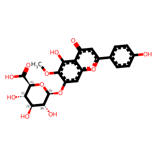 COc1c(O[C@@H]2O[C@H](C(=O)O)[C@@H](O)[C@H](O)[C@H]2O)cc2oc(-c3ccc(O)cc3)cc(=O)c2c1O